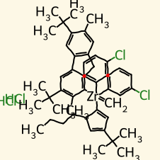 Cl.Cl.[CH2]=[Zr]([C]1=CC(C(C)(C)C)=CC1CCCC)([c]1cccc(Cl)c1)([c]1cccc(Cl)c1)[c]1c(C)c(C(C)(C)C)cc2c1Cc1cc(C)c(C(C)(C)C)cc1-2